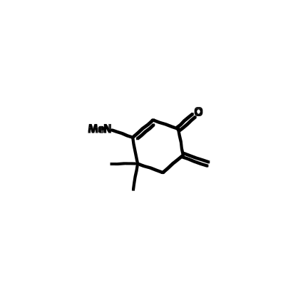 C=C1CC(C)(C)C(NC)=CC1=O